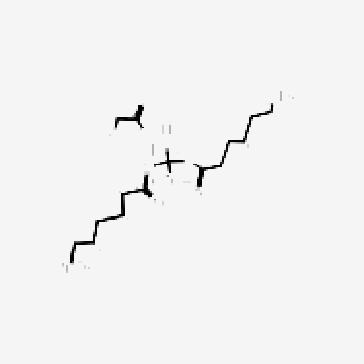 CCC(=O)O.CCCCCCCCCCCCCCCC(=O)SC(C)(SC(=O)CCCCCCCCCCCCCCC)C(=O)O